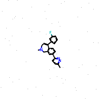 Cc1ccc(-c2ccc3c(c2)CN(C)CC=C3c2cccc(F)c2)nn1